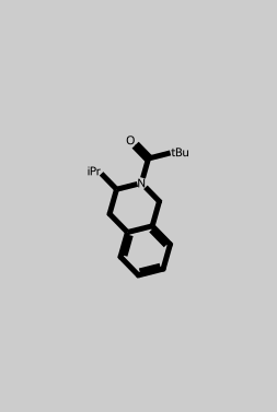 CC(C)C1Cc2ccccc2CN1C(=O)C(C)(C)C